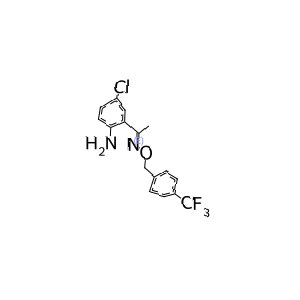 C/C(=N\OCc1ccc(C(F)(F)F)cc1)c1cc(Cl)ccc1N